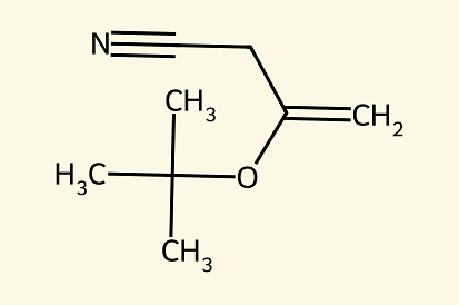 C=C(CC#N)OC(C)(C)C